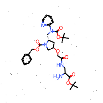 CC(C)(C)OC(=O)C(N)CNC(=O)CO[C@@H]1C[C@@H](CN(C(=O)OC(C)(C)C)c2ccccn2)N(C(=O)OCc2ccccc2)C1